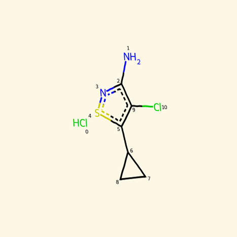 Cl.Nc1nsc(C2CC2)c1Cl